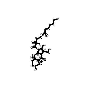 CCCCCCC(=O)OCCC(C)(C)C(=O)n1c(C)c(CC)c2c1C[C@@H]1CCN(C)C[C@H]1C2=O